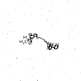 CCCC(C=O)N(C)Cc1c(C=O)cccc1SCCCCCCCCNc1nccc(-c2cccnc2)n1